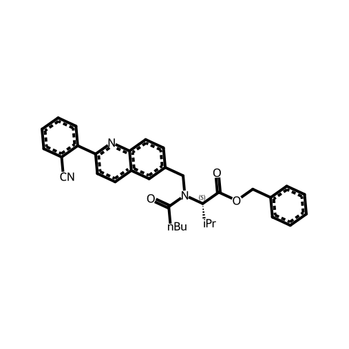 CCCCC(=O)N(Cc1ccc2nc(-c3ccccc3C#N)ccc2c1)[C@H](C(=O)OCc1ccccc1)C(C)C